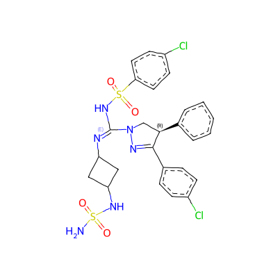 NS(=O)(=O)NC1CC(/N=C(/NS(=O)(=O)c2ccc(Cl)cc2)N2C[C@@H](c3ccccc3)C(c3ccc(Cl)cc3)=N2)C1